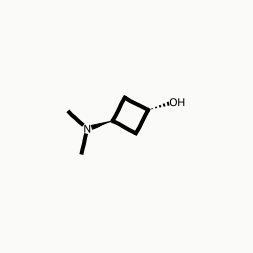 CN(C)[C@H]1C[C@H](O)C1